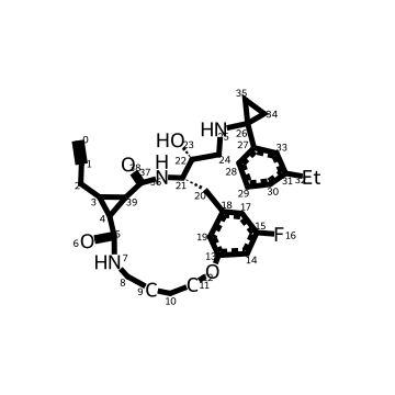 C#CCC1C2C(=O)NCCCCOc3cc(F)cc(c3)C[C@@H]([C@H](O)CNC3(c4cccc(CC)c4)CC3)NC(=O)C12